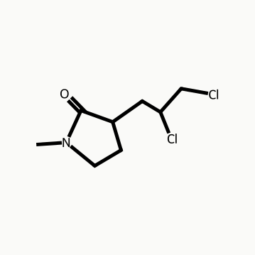 CN1CCC(CC(Cl)CCl)C1=O